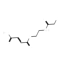 CCC(=O)NCCSC(=O)/C=C/C(=O)O